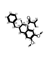 COc1cc2c(cc1OC)N(C(=O)C(C)C)[C@H](C)[C@H](Cc1ccccc1)[CH]2